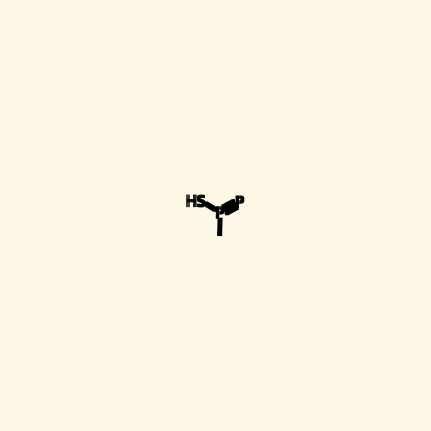 CP(#P)S